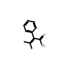 CC(C)=C(C(N)=O)c1ccccc1